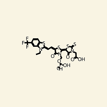 CCN1/C(=C/C=c2/s/c(=C3\SC(=S)N(CC(=O)O)C3=O)n(CO[PH](=O)O)c2=O)Sc2ccc(C(F)(F)F)cc21